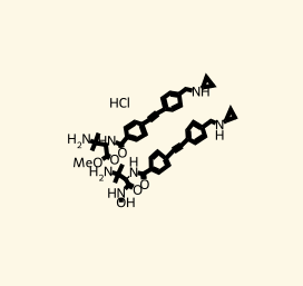 CC(C)(N)[C@H](NC(=O)c1ccc(C#Cc2ccc(CNC3CC3)cc2)cc1)C(=O)NO.COC(=O)[C@@H](NC(=O)c1ccc(C#Cc2ccc(CNC3CC3)cc2)cc1)C(C)(C)N.Cl